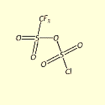 O=S(=O)(Cl)OS(=O)(=O)C(F)(F)F